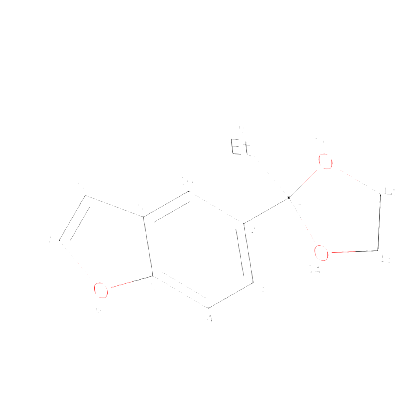 CCC1(c2ccc3occc3c2)OCCO1